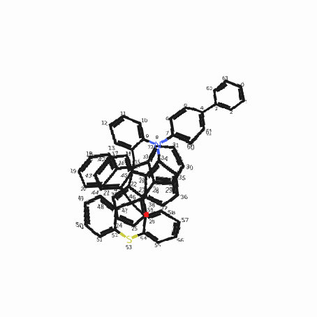 c1ccc(-c2ccc(N(c3ccccc3C3(c4ccccc4)c4ccccc4-c4ccccc43)c3cccc4c3-c3ccccc3C43c4ccccc4Sc4ccccc43)cc2)cc1